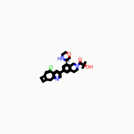 CC(C)(O)C(=O)N1CCc2cc(-c3cnc4c(c3)C(Cl)=CC3CCC3C4)cc([C@@H]3COCCN3)c2C1